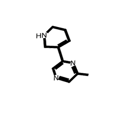 Cc1cncc(C2=CCCNC2)n1